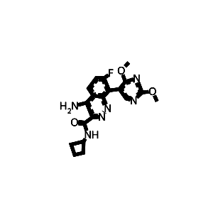 COc1ncc(-c2c(F)ccc3c(N)c(C(=O)NC4CCC4)nnc23)c(OC)n1